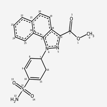 COC(=O)c1nn(C2C=CC(S(N)(=O)=O)=CC2)c2c1ccc1ccccc12